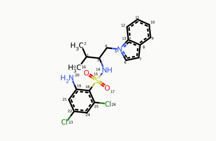 CC(C)C(Cn1ccc2ccccc21)NS(=O)(=O)c1c(N)cc(Cl)cc1Cl